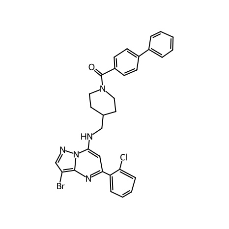 O=C(c1ccc(-c2ccccc2)cc1)N1CCC(CNc2cc(-c3ccccc3Cl)nc3c(Br)cnn23)CC1